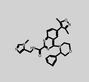 Cc1noc(C)c1-c1ccc2nc(C(=O)NCc3cncn3C)nc(N3CCOCC3c3ccccc3)c2c1